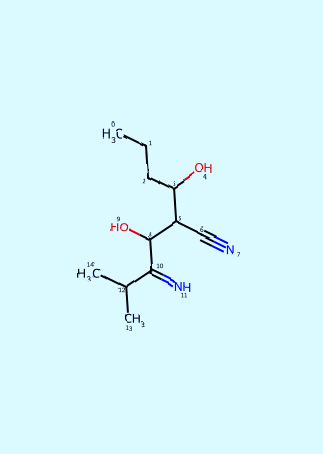 CCCC(O)C(C#N)C(O)C(=N)C(C)C